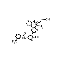 C#CCCOC(C)(C)c1ncc(-c2cc(NC(=O)c3cccc(C(F)(F)F)c3)cnc2C)cc1N1CCOCC1